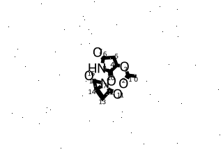 CC(=O)OC1CC(=O)NC1=O.O=C1C=C2C(=O)N12